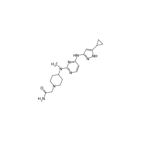 CN(c1nccc(Nc2cc(C3CC3)[nH]n2)n1)C1CCN(CC(N)=O)CC1